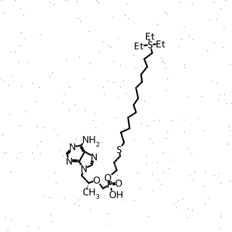 CCS(CC)(CC)CCCCCCCCCCCCCSCCCOP(=O)(O)CO[C@H](C)Cn1cnc2c(N)ncnc21